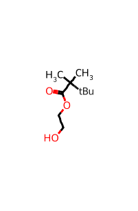 CC(C)(C)C(C)(C)C(=O)OCCO